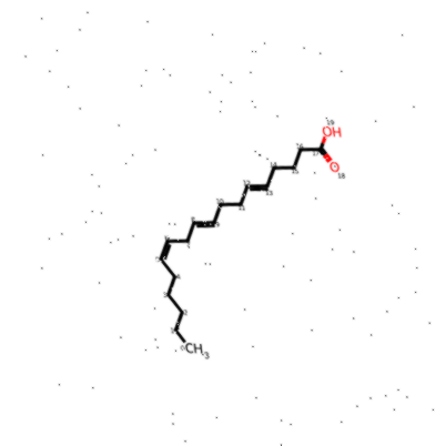 CCCCC/C=C\CC=CCCC=CCCCC(=O)O